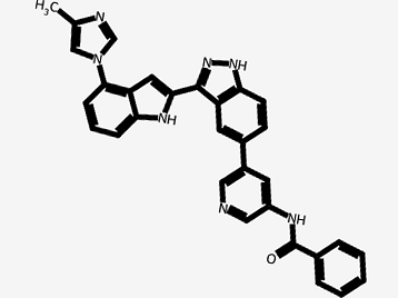 Cc1cn(-c2cccc3[nH]c(-c4n[nH]c5ccc(-c6cncc(NC(=O)c7ccccc7)c6)cc45)cc23)cn1